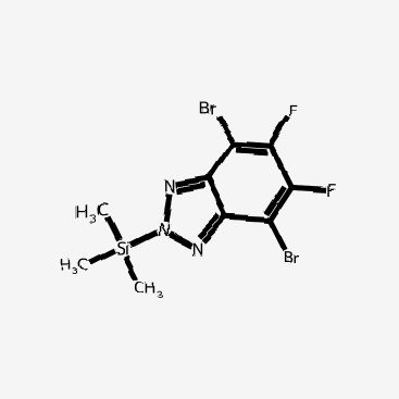 C[Si](C)(C)n1nc2c(Br)c(F)c(F)c(Br)c2n1